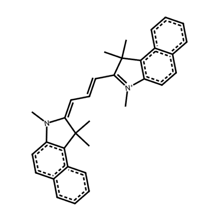 CN1/C(=C/C=C/C2=[N+](C)c3ccc4ccccc4c3C2(C)C)C(C)(C)c2c1ccc1ccccc21